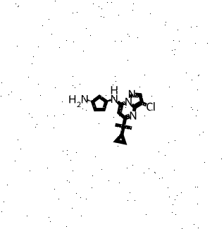 CC(C)(c1cc(N[C@H]2CC[C@H](N)C2)n2ncc(Cl)c2n1)C1CC1